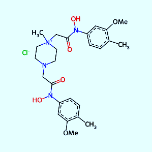 COc1cc(N(O)C(=O)CN2CC[N+](C)(CC(=O)N(O)c3ccc(C)c(OC)c3)CC2)ccc1C.[Cl-]